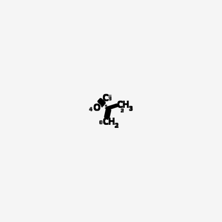 C=CC.[C-]#[O+]